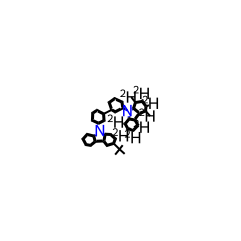 [2H]c1c([2H])c([2H])c2c(c1[2H])c1c([2H])c([2H])c([2H])c([2H])c1n2-c1cccc(-c2cccc(-n3c4ccccc4c4cc(C(C)(C)C)ccc43)c2)c1